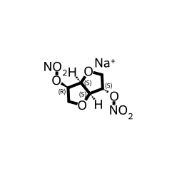 O=[N+]([O-])O[C@H]1CO[C@H]2[C@@H]1OC[C@H]2O[N+](=O)[O-].[Na+]